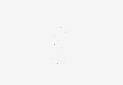 O=C(C[C@@H]1CCN(C(=O)c2cn[nH]c2)C1)Nc1ccc2cc1CCc1cncc(c1)Nc1ncc(Cl)c(n1)N2